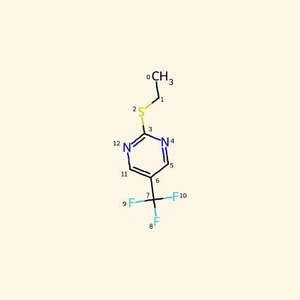 CCSc1ncc(C(F)(F)F)cn1